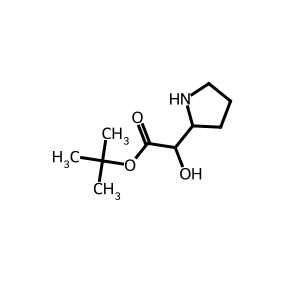 CC(C)(C)OC(=O)C(O)C1CCCN1